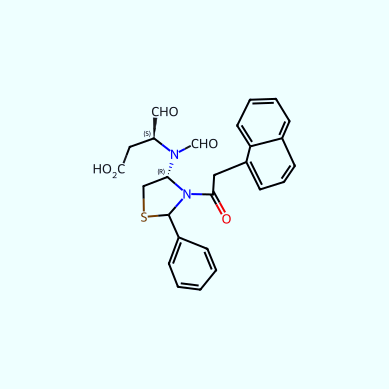 O=C[C@H](CC(=O)O)N(C=O)[C@H]1CSC(c2ccccc2)N1C(=O)Cc1cccc2ccccc12